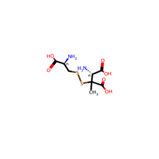 CC(SSC[C@H](N)C(=O)O)(C(=O)O)[C@H](N)C(=O)O